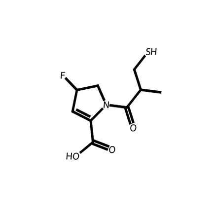 CC(CS)C(=O)N1CC(F)C=C1C(=O)O